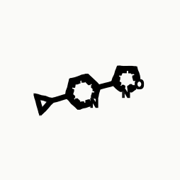 c1cc(-c2ccc(C3CC3)cn2)no1